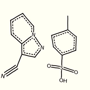 Cc1ccc(S(=O)(=O)O)cc1.N#Cc1cnn2ccccc12